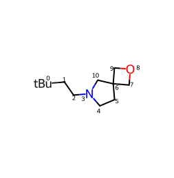 CC(C)(C)CCN1CCC2(COC2)C1